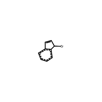 [Cr][CH]1C=Cc2ccccc21